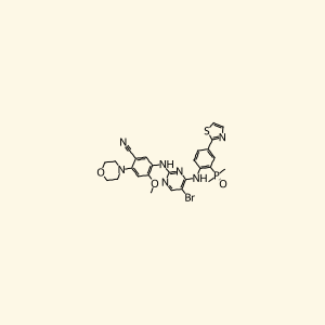 COc1cc(N2CCOCC2)c(C#N)cc1Nc1ncc(Br)c(Nc2ccc(-c3nccs3)cc2P(C)(C)=O)n1